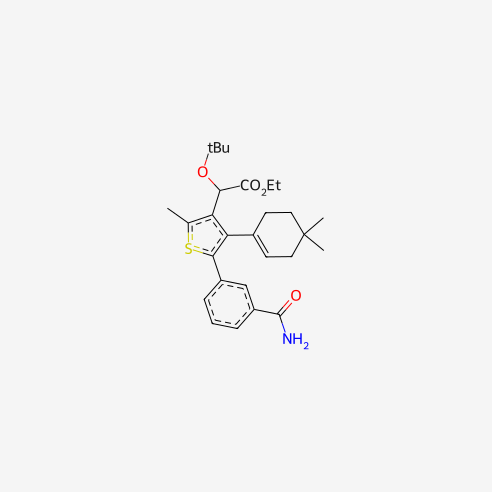 CCOC(=O)C(OC(C)(C)C)c1c(C)sc(-c2cccc(C(N)=O)c2)c1C1=CCC(C)(C)CC1